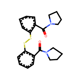 O=C(c1ccccc1SSc1ccccc1C(=O)N1CCCC1)N1CCCC1